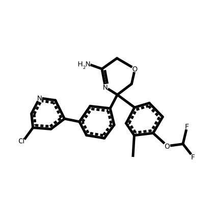 Cc1cc(C2(c3cccc(-c4cncc(Cl)c4)c3)COCC(N)=N2)ccc1OC(F)F